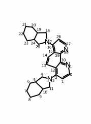 c1cc(N2CC3CCCCC3C2)c2ccc3c(N4CC5CCCCC5C4)ccnc3c2n1